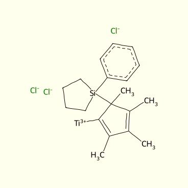 CC1=C(C)C(C)([Si]2(c3ccccc3)CCCC2)[C]([Ti+3])=C1C.[Cl-].[Cl-].[Cl-]